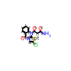 CCCCCC(=O)c1ccccc1N(C(=O)CC(N)=O)c1ncc(Cl)s1